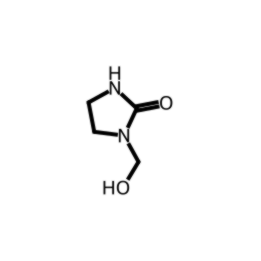 O=C1NCCN1CO